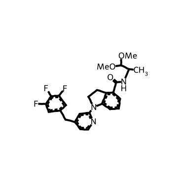 COC(OC)C(C)NC(=O)c1cccc2c1CCN2c1cc(Cc2cc(F)c(F)c(F)c2)ccn1